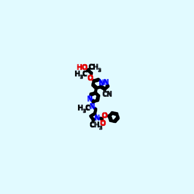 CC1CC(CN(C)c2ccc(-c3cc(OCC(C)(C)O)cn4ncc(C#N)c34)cn2)N1C(=O)Oc1ccccc1